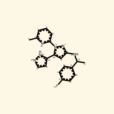 Cc1cccc(-n2nc(NC(C)c3ccc(F)cc3)cc2-c2ccn[nH]2)n1